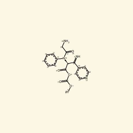 CC(C)OC(=O)OC(=O)[C@H](C(=N)c1ccncc1)N(C(=O)CN)c1ccccc1